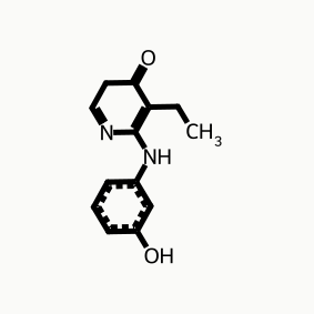 CCC1=C(Nc2cccc(O)c2)N=CCC1=O